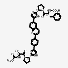 COC(=O)N[C@H](C(=O)N1CCC[C@H]1c1nc(-c2ccc(-c3cnc4cc(-c5cnc([C@@H]6CCCN6C(=O)[C@@H](Cc6ccccc6)NC(=O)O)[nH]5)ccc4n3)cc2)c[nH]1)C(C)C